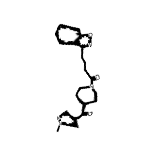 Cn1cc(C(=O)C2CCN(C(=O)CCCc3noc4ccccc34)CC2)cn1